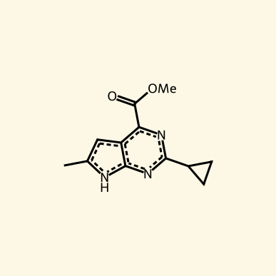 COC(=O)c1nc(C2CC2)nc2[nH]c(C)cc12